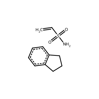 C=CS(N)(=O)=O.c1ccc2c(c1)CCC2